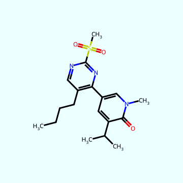 CCCCc1cnc(S(C)(=O)=O)nc1-c1cc(C(C)C)c(=O)n(C)c1